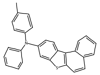 Cc1ccc(N(c2ccccc2)c2ccc3c(c2)sc2ccc4ccccc4c23)cc1